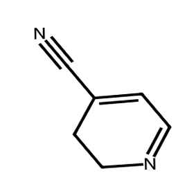 N#CC1=CC=NCC1